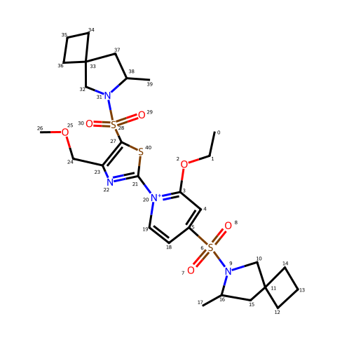 CCOc1cc(S(=O)(=O)N2CC3(CCC3)CC2C)cc[n+]1-c1nc(COC)c(S(=O)(=O)N2CC3(CCC3)CC2C)s1